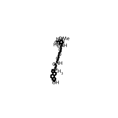 COc1ccc(NC(=O)COCCOCCOCCNC(=O)CCO[C@@H]2CCC3C4CCc5cc(O)ccc5C4CCC32C)c(O)c1C(N)=O